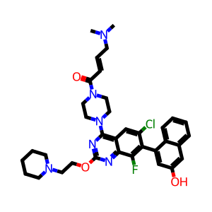 CN(C)C/C=C/C(=O)N1CCN(c2nc(OCCN3CCCCC3)nc3c(F)c(-c4cc(O)cc5ccccc45)c(Cl)cc23)CC1